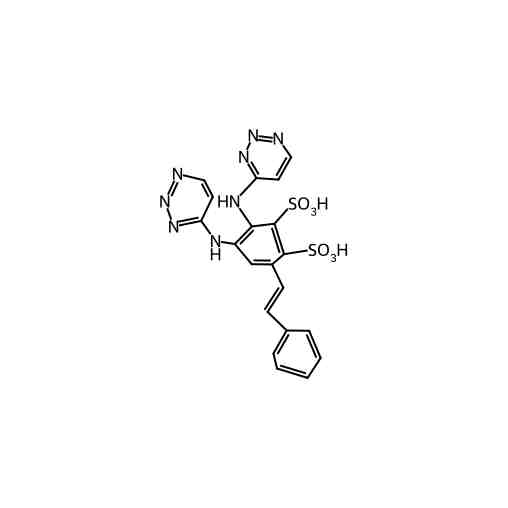 O=S(=O)(O)c1c(C=Cc2ccccc2)cc(Nc2ccnnn2)c(Nc2ccnnn2)c1S(=O)(=O)O